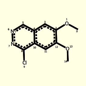 COc1cc2cnnc(Cl)c2cc1OC